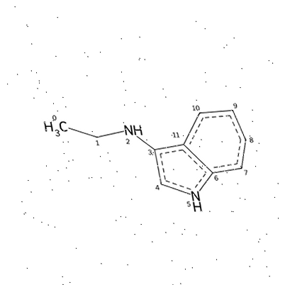 CCNc1c[nH]c2ccccc12